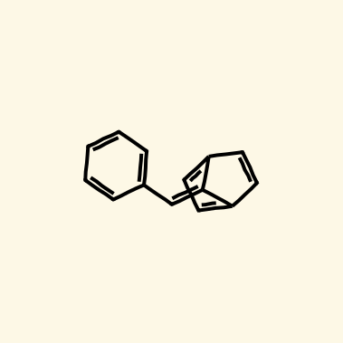 C1=CC2=CC=C1C2=Cc1ccccc1